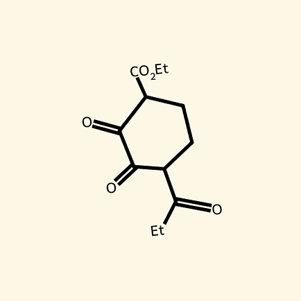 CCOC(=O)C1CCC(C(=O)CC)C(=O)C1=O